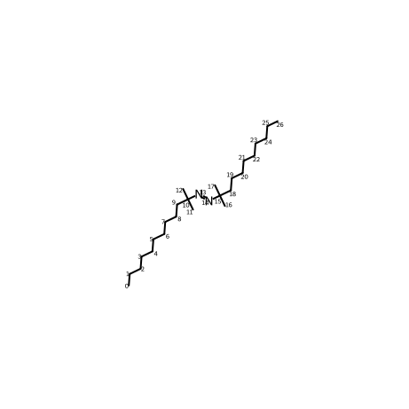 CCCCCCCCCCC(C)(C)N=NC(C)(C)CCCCCCCCC